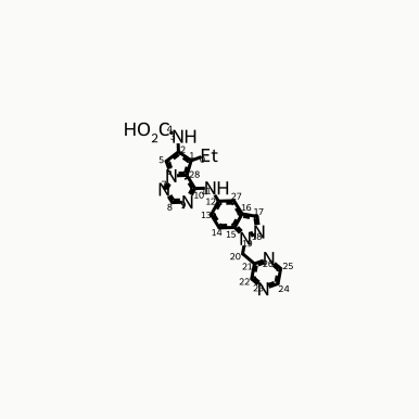 CCc1c(NC(=O)O)cn2ncnc(Nc3ccc4c(cnn4Cc4cnccn4)c3)c12